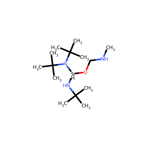 CNCO[SiH](NC(C)(C)C)N(C(C)(C)C)C(C)(C)C